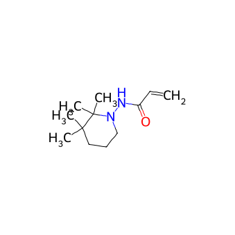 C=CC(=O)NN1CCCC(C)(C)C1(C)C